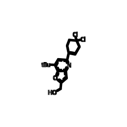 CC(C)(C)c1cc(C2=CCC(Cl)(Cl)CC2)nc2cc(CO)oc12